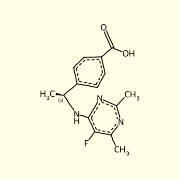 Cc1nc(C)c(F)c(N[C@@H](C)c2ccc(C(=O)O)cc2)n1